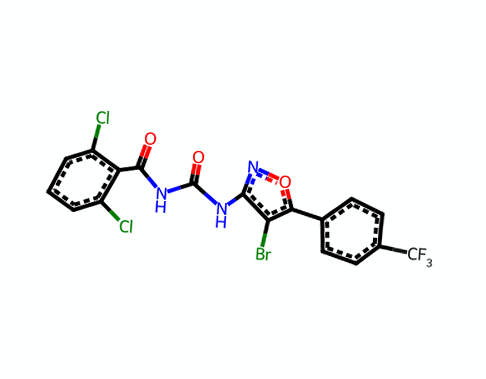 O=C(NC(=O)c1c(Cl)cccc1Cl)Nc1noc(-c2ccc(C(F)(F)F)cc2)c1Br